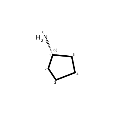 N[C@H]1[CH]CCC1